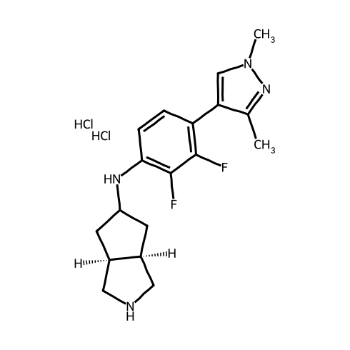 Cc1nn(C)cc1-c1ccc(NC2C[C@H]3CNC[C@H]3C2)c(F)c1F.Cl.Cl